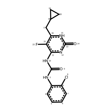 O=C(Nc1ccccc1Cl)Nc1nc(=O)[nH]c(CC2CC2)c1F